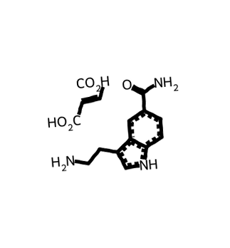 NCCc1c[nH]c2ccc(C(N)=O)cc12.O=C(O)C=CC(=O)O